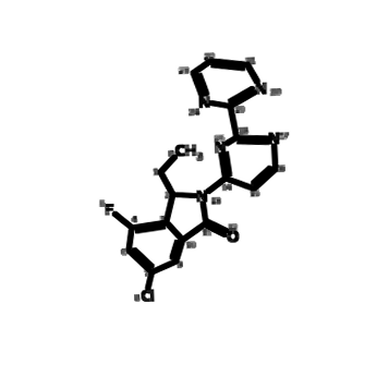 CCC1c2c(F)cc(Cl)cc2C(=O)N1c1ccnc(-c2ncccn2)n1